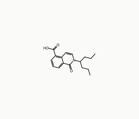 CCCC(CCC)n1ccc2c(C(=O)O)cccc2c1=O